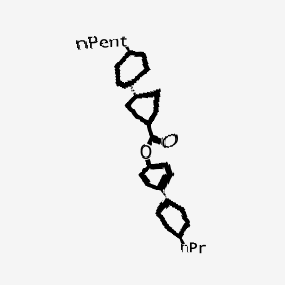 CCCCC[C@H]1CC[C@H](C2CCC(C(=O)Oc3ccc([C@H]4CC[C@H](CCC)CC4)cc3)CC2)CC1